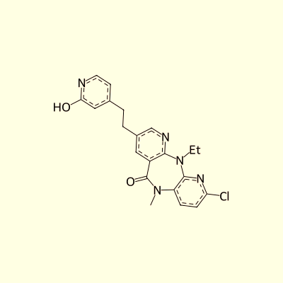 CCN1c2ncc(CCc3ccnc(O)c3)cc2C(=O)N(C)c2ccc(Cl)nc21